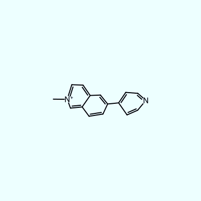 C[n+]1ccc2cc(-c3ccncc3)ccc2c1